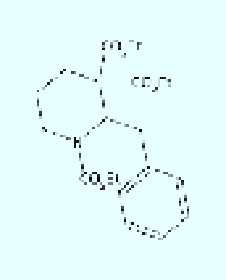 CCOC(=O)N1CCCC(C(=O)OCC)(C(=O)OCC)C1Cc1ccccc1